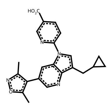 Cc1noc(C)c1-c1cnc2c(CC3CC3)cn(-c3ccc(C(=O)O)cn3)c2c1